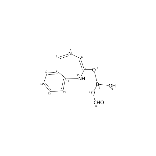 O=COB(O)OC1=CN=Cc2ccccc2N1